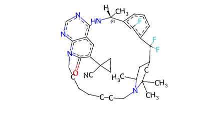 CC1CC2CC(C)(C)N1CCCCCCCn1c(=O)c(C3(C#N)CC3)cc3c(ncnc31)N[C@H](C)c1cccc(c1F)C2(F)F